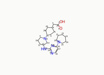 O=C(O)CC1CCC(N2CCCC(Nc3nccc(N4CCCCCC4)n3)C2)CC1